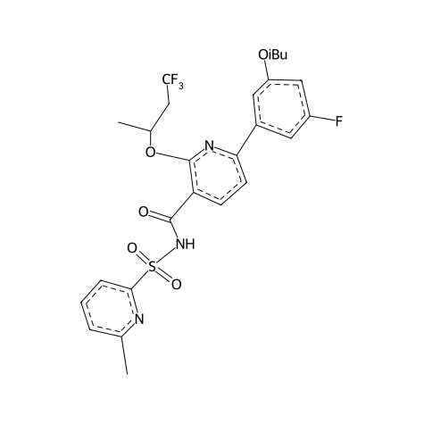 Cc1cccc(S(=O)(=O)NC(=O)c2ccc(-c3cc(F)cc(OCC(C)C)c3)nc2OC(C)CC(F)(F)F)n1